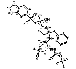 CC[C@](Cc1ccccc1)(NC[C@@](C)(O)CS(=O)(=O)c1ccc2c(c1)OCO2)NC(=O)[C@@H](CS(C)(=O)=O)NC(=O)OC(C)(C)C